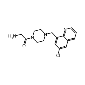 NCC(=O)N1CCN(Cc2cc(Cl)cc3cccnc23)CC1